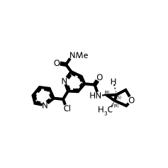 CNC(=O)c1cc(C(=O)N[C@@H]2[C@H]3COC[C@]32C)cc(C(Cl)c2ccccn2)n1